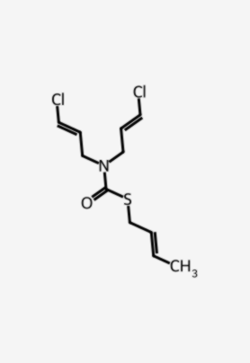 CC=CCSC(=O)N(CC=CCl)CC=CCl